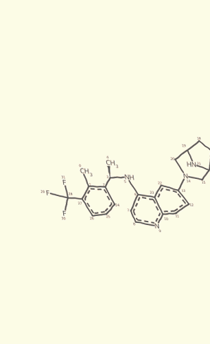 Cc1c([C@@H](C)Nc2ccnc3ccc(N4CC5CCC(C4)N5)cc23)cccc1C(F)(F)F